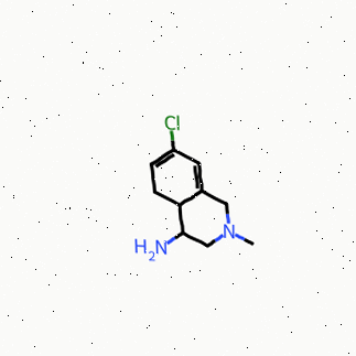 CN1CC2=CC(Cl)=CCC2C(N)C1